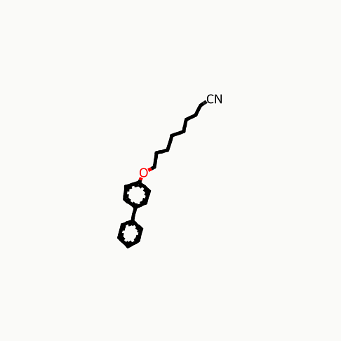 N#CCCCCCCCCOc1ccc(-c2ccccc2)cc1